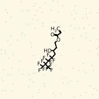 C=CC(=O)OCCC(O)CC(F)(F)C(F)(F)C(F)(C(F)(F)F)C(F)(F)F